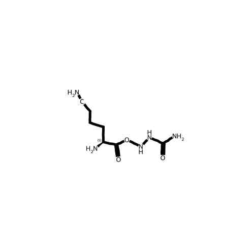 NCCCC[C@H](N)C(=O)ONNC(N)=O